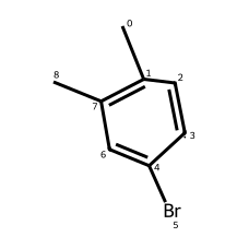 Cc1c[c]c(Br)cc1C